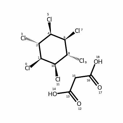 Cl[C@H]1[C@H](Cl)[C@@H](Cl)[C@@H](Cl)[C@H](Cl)[C@H]1Cl.O=C(O)CC(=O)O